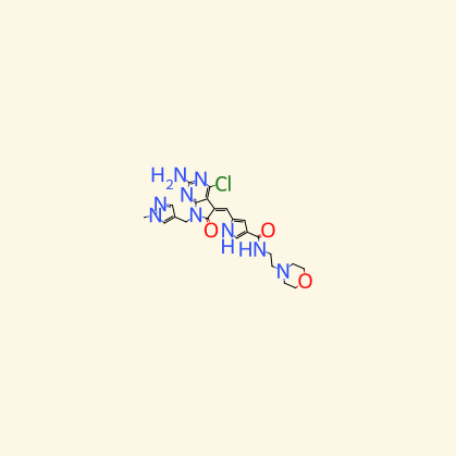 Cn1cc(CN2C(=O)C(=Cc3cc(C(=O)NCCN4CCOCC4)c[nH]3)c3c(Cl)nc(N)nc32)cn1